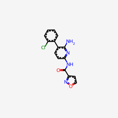 Nc1nc(NC(=O)c2ccon2)ccc1-c1ccccc1Cl